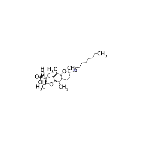 CCCCCCC/C=C/C1(C)CCc2c(C)c(OC(C)CP(=O)(O)O)c(C)c(C)c2O1